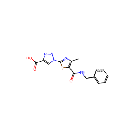 Cc1nc(-n2cc(C(=O)O)nn2)sc1C(=O)NCc1ccccc1